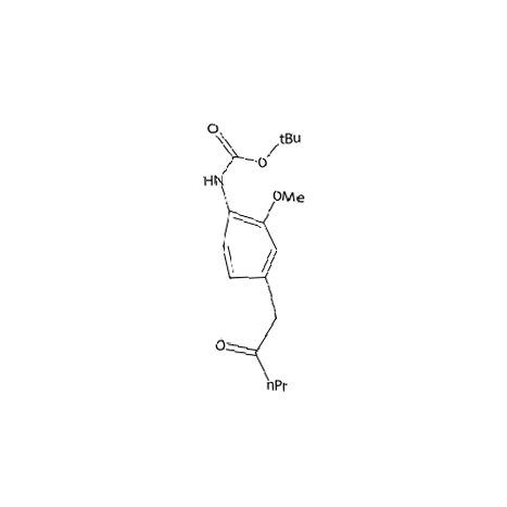 CCCC(=O)Cc1ccc(NC(=O)OC(C)(C)C)c(OC)c1